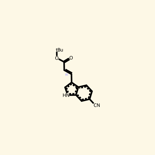 CC(C)(C)OC(=O)/C=C/c1c[nH]c2cc(C#N)ccc12